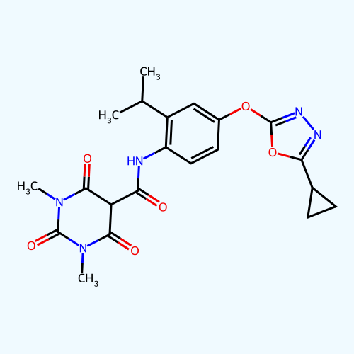 CC(C)c1cc(Oc2nnc(C3CC3)o2)ccc1NC(=O)C1C(=O)N(C)C(=O)N(C)C1=O